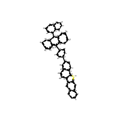 c1ccc2cc3c(cc2c1)sc1c2ccc(-c4ccc(-c5c6ccccc6c(-c6cccc7ccccc67)c6ccccc56)cc4)cc2ccc31